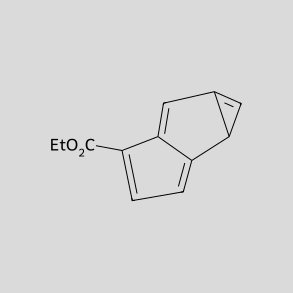 CCOC(=O)C1=CC=C2C1=CC1=CC12